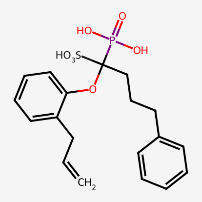 C=CCc1ccccc1OC(CCCc1ccccc1)(P(=O)(O)O)S(=O)(=O)O